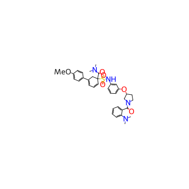 COc1ccc(C2=CC=CC(C(=O)N(C)C)(S(=O)(=O)Nc3cccc(O[C@H]4CCN(C(=O)c5ccccc5N(C)C)C4)c3)C2)cc1